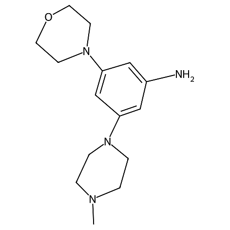 CN1CCN(c2cc(N)cc(N3CCOCC3)c2)CC1